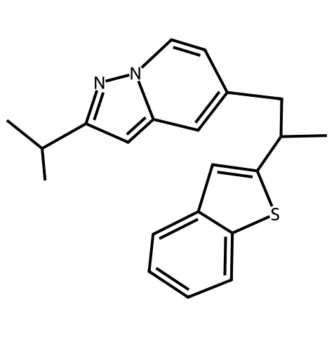 CC(C)c1cc2cc(CC(C)c3cc4ccccc4s3)ccn2n1